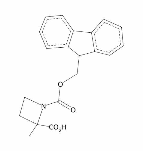 CC1(C(=O)O)CCN1C(=O)OCC1c2ccccc2-c2ccccc21